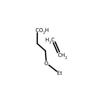 C=C.CCOCCC(=O)O